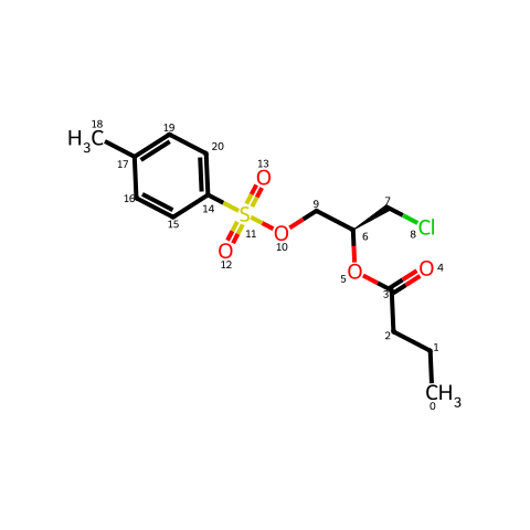 CCCC(=O)O[C@H](CCl)COS(=O)(=O)c1ccc(C)cc1